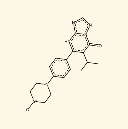 CC(C)c1c(-c2ccc(N3CC[S+]([O-])CC3)cc2)[nH]c2ncnn2c1=O